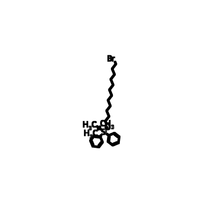 CC(C)(C)[Si](OCCCCCCCCCCCCBr)(c1ccccc1)c1ccccc1